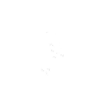 CN(C)C(=O)N1CCC(Oc2nc3nc(NCc4c(F)cccc4F)c(Cl)cc3[nH]2)CC1